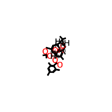 CC1=C[C@]23C(=O)[C@@H](C=C4COC(C)(C)O[C@H]4[C@]2(O)[C@H]1OC(=O)c1c(C)cc(C)cc1C)C1[C@@H](C[C@H]3C)C1(C)C